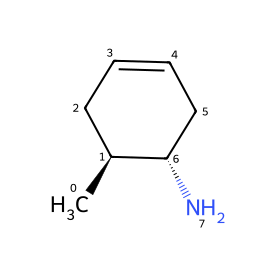 C[C@H]1CC=CC[C@@H]1N